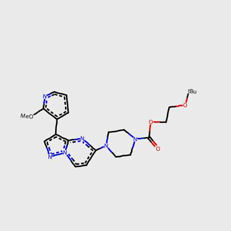 COc1ncccc1-c1cnn2ccc(N3CCN(C(=O)OCCOC(C)(C)C)CC3)nc12